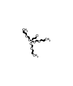 C=CCOCO[Si](CCCl)(OCOCC=C)OCOCC=C